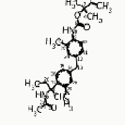 CCC(C)(C)OC(=O)Nc1ccc(Cc2ccc(C(C)(CC)NC(C)=O)c(C)c2)cc1C